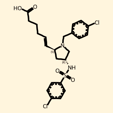 O=C(O)CCCC=C[C@@H]1C[C@@H](NS(=O)(=O)c2ccc(Cl)cc2)CN1Cc1ccc(Cl)cc1